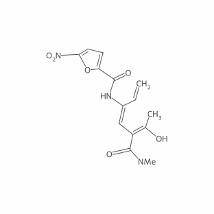 C=C/C(=C\C(C(=O)NC)=C(/C)O)NC(=O)c1ccc([N+](=O)[O-])o1